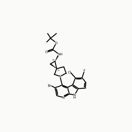 CC(C)(C)OC(=O)N[C@@H]1C[C@]12CCN(c1c(Br)cnc3[nH]c4[c]cc(F)c(Cl)c4c13)C2